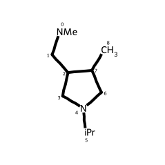 CNCC1CN(C(C)C)CC1C